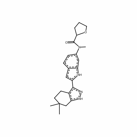 CN(C(=O)C1CCCO1)c1ccc2cc(-c3n[nH]c4c3CCC(C)(C)C4)[nH]c2c1